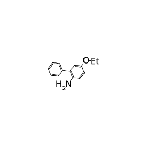 CCOc1ccc(N)c(-c2ccccc2)c1